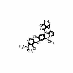 COc1cc(Oc2ccnc(N(C)C)c2Cl)c(Cl)cc1N(C(=O)C1(C(N)=O)CC1)c1ccco1